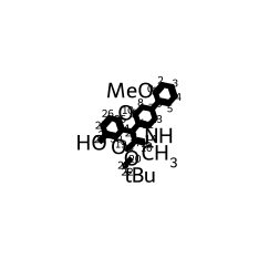 COc1ccccc1C1CC(=O)C2=C(C1)NC(C)=C(C(=O)OCC(C)(C)C)C2c1cccc(O)c1